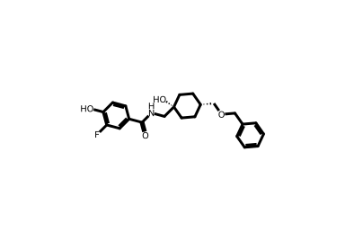 O=C(NC[C@]1(O)CC[C@@H](COCc2ccccc2)CC1)c1ccc(O)c(F)c1